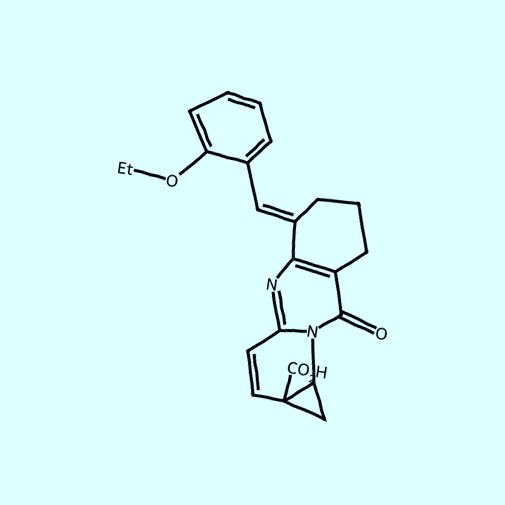 CCOc1ccccc1/C=C1\CCCc2c1nc1n(c2=O)C2CC2(C(=O)O)C=C1